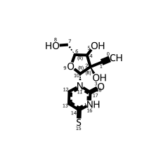 C#C[C@@]1(O)C(O)[C@@H](CO)O[C@H]1n1ccc(=S)[nH]c1=O